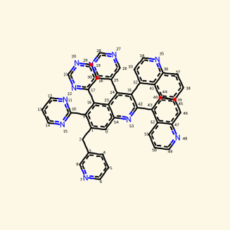 [c]1c(Cc2cccnc2)c(-c2ncccn2)c(-c2ccncn2)c2c(-c3cncnc3)c(-c3ccnc4ccccc34)c(-c3cccc4ncccc34)nc12